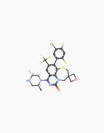 C[C@@H]1CN(c2nc(=O)n3c4c(c(-c5cc(Cl)c(F)cc5F)c(C(F)(F)F)cc24)SCC2(COC2)C3)[C@@H](C)CN1